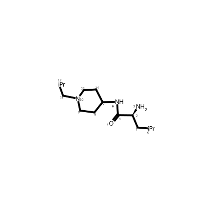 CC(C)C[C@H](N)C(=O)NC1CCN(CC(C)C)CC1